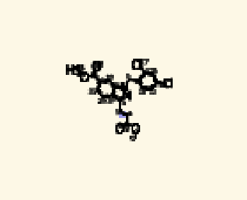 COC(=O)/C=C/c1nn(Cc2ccc(Cl)cc2Cl)c2cc(C(=O)OS)ccc12